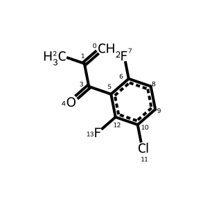 C=C(C)C(=O)c1c(F)ccc(Cl)c1F